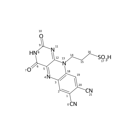 N#Cc1cc2nc3c(=O)[nH]c(=O)nc-3n(CCCS(=O)(=O)O)c2cc1C#N